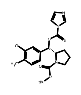 Cc1ccc(C(OC(=S)n2ccnc2)[C@@H]2CCCN2C(=O)OC(C)(C)C)cc1Cl